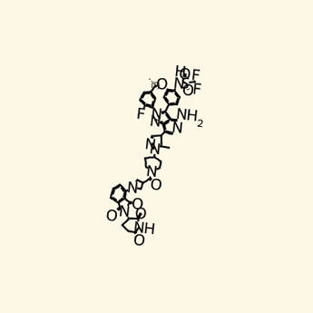 CC1C(c2cnc(N)c3c(-c4ccc(NS(=O)(=O)C(F)F)c(O[C@@H](C)c5ccc(F)cc5)c4)nn(C)c23)C=NN1C1CCN(C(=O)C2CN(c3cccc4c3C(=O)N(C3CCC(=O)NC3=O)C4=O)C2)CC1